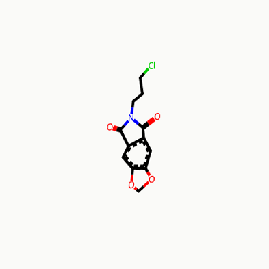 O=C1c2cc3c(cc2C(=O)N1CCCCl)OCO3